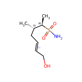 C[C@H]([C@@H](C)C/C=C/CO)S(N)(=O)=O